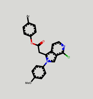 COc1ccc(-n2cc3c(Cl)nccc3c2CC(=O)Oc2ccc(C(C)=O)cc2)cc1